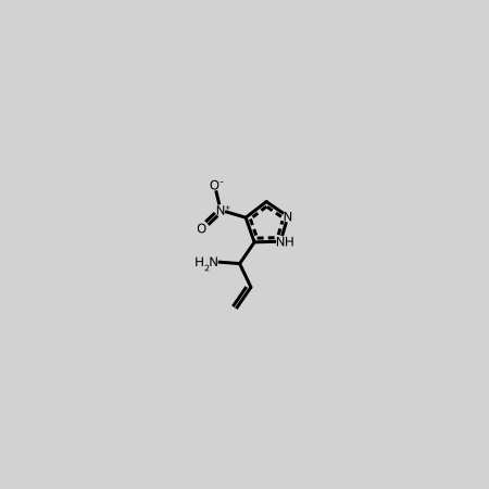 C=CC(N)c1[nH]ncc1[N+](=O)[O-]